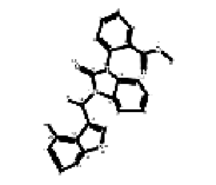 COC(=O)c1ccccc1-n1c(=O)n(C(C)c2c[nH]c3cccc(C)c23)c2ccccc21